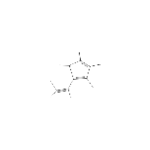 FC(F)=C(F)C1=C(F)C(F)=C(F)C1F